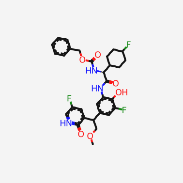 COCC(c1cc(F)c(O)c(NC(=O)[C@@H](NC(=O)OCc2ccccc2)C2CCC(F)CC2)c1)c1cc(F)c[nH]c1=O